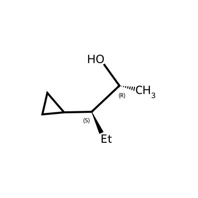 CC[C@@H](C1CC1)[C@@H](C)O